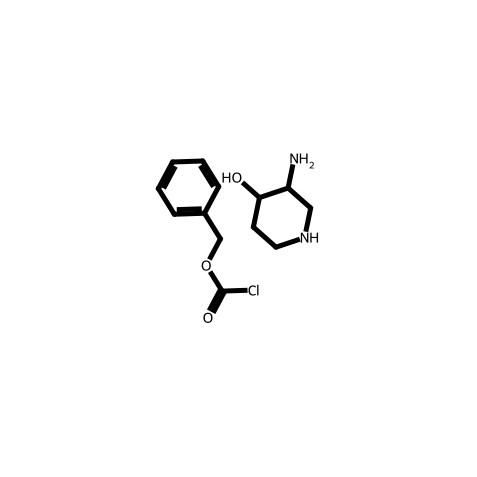 NC1CNCCC1O.O=C(Cl)OCc1ccccc1